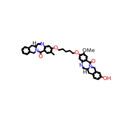 COc1cc2c(cc1OCCCCCOc1cc3c(cc1C)C(=O)N1Cc4ccccc4C[C@H]1C=N3)N=C[C@@H]1Cc3ccc(O)cc3CN1C2=O